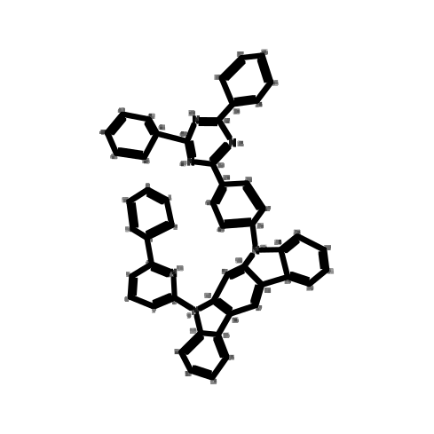 c1ccc(-c2cccc(-n3c4ccccc4c4cc5c6ccccc6n(-c6ccc(-c7nc(-c8ccccc8)nc(-c8ccccc8)n7)cc6)c5cc43)n2)cc1